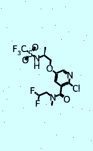 C[C@@H](COc1cnc(Cl)c(C(=O)N(C)CC(F)F)c1)NS(=O)(=O)C(F)(F)F